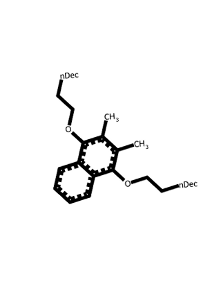 CCCCCCCCCCCCOc1c(C)c(C)c(OCCCCCCCCCCCC)c2ccccc12